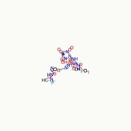 C#C[C@H]1CC(F)(F)CN1C(=O)CNC(=O)c1ccnc2ccc(OCCCCN3CCN(C(=O)[C@H](CC(=O)OC)NC(=O)[C@H](CCCNC(=O)CCCc4ccc(I)cc4)NC(=O)CN4CCN(COC=O)CCN(COC=O)CCN(CC(=O)O)CC4)CC3)cc12